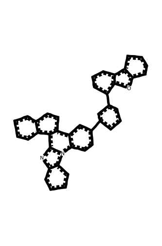 c1cc(-c2ccc3c(c2)c2ccc4ccccc4c2c2nc4ccccc4n32)cc(-c2cccc3c2oc2ccccc23)c1